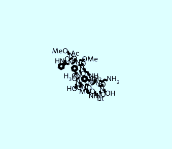 CCN(CCOC)C(=O)CN(CCO)C(=O)CN(CCCCN)C(=O)CN(C(=O)CN(CCCCN)C(=O)CN(CCO)C(=O)CN(C(=O)CN(CCCCN)C(=O)CN(CCOC)C(=O)CN(Cc1c[nH]c2ccccc12)C(=O)CN(CCOC)C(C)=O)[C@@H](C)c1ccccc1)[C@@H](C)c1ccccc1